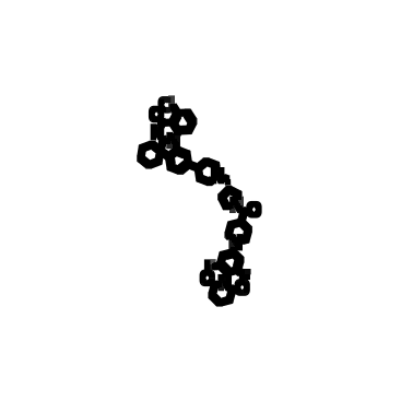 O=C(C1CCN(c2cc(F)c(N3C(=O)CCCC3=O)c(F)c2)CC1)N1CC[C@H](CN2CCC(c3ccc4c(c3)-n3c(nc(=O)c5c(Cl)cccc53)C43CCCCC3)CC2)C1